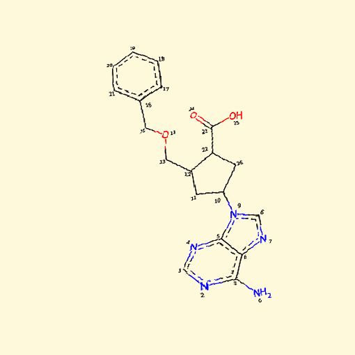 Nc1ncnc2c1ncn2C1CC(COCc2ccccc2)C(C(=O)O)C1